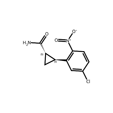 NC(=O)[C@H]1C[C@@H]1c1cc(Cl)ccc1[N+](=O)[O-]